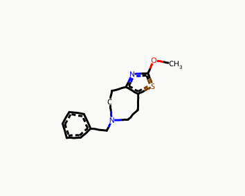 COc1nc2c(s1)CCN(Cc1ccccc1)CC2